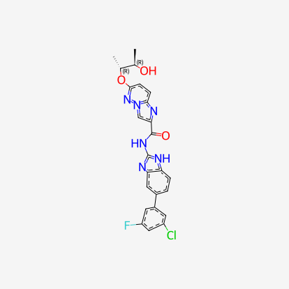 C[C@@H](O)[C@@H](C)Oc1ccc2nc(C(=O)Nc3nc4cc(-c5cc(F)cc(Cl)c5)ccc4[nH]3)cn2n1